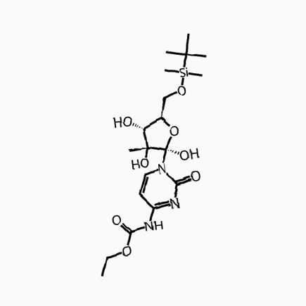 CCOC(=O)Nc1ccn([C@]2(O)O[C@H](CO[Si](C)(C)C(C)(C)C)[C@@H](O)[C@@]2(C)O)c(=O)n1